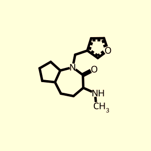 CNC1CCC2CCCC2N(Cc2ccoc2)C1=O